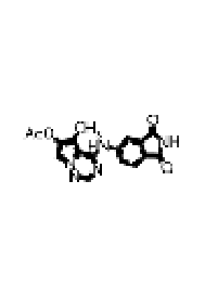 CC(=O)Oc1cn2ncnc(Nc3ccc4c(c3)C(=O)NC4=O)c2c1C